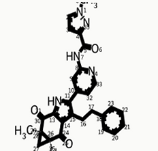 Cn1ccc(C(=O)Nc2cc(-c3[nH]c4c(c3CCc3ccccc3)C(=O)[C@H]3C[C@@]3(C)C4=O)ccn2)n1